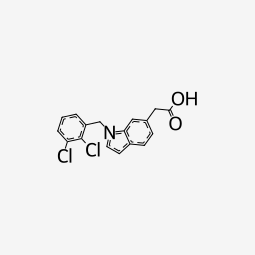 O=C(O)Cc1ccc2ccn(Cc3cccc(Cl)c3Cl)c2c1